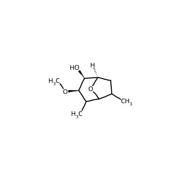 CO[C@@H]1C(C)C2O[C@H](CC2C)[C@@H]1O